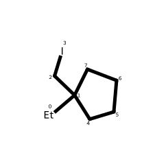 CCC1(CI)CCCC1